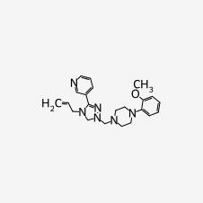 C=CCN1CN(CN2CCN(c3ccccc3OC)CC2)N=C1c1cccnc1